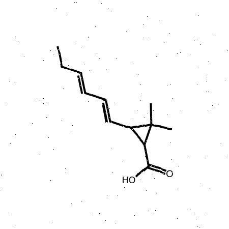 CCC=CC=CC1C(C(=O)O)C1(C)C